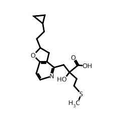 CSCCC(O)(Cc1nccc2c1CC(CCC1CC1)O2)C(=O)O